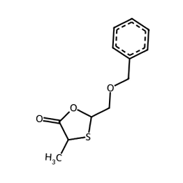 CC1SC(COCc2ccccc2)OC1=O